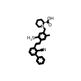 Cc1cc(/C=C/c2cccc(-c3ccccc3)c2C#N)c([SiH3])cc1CN1CCCC[C@H]1C(=O)O